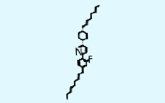 CCCCCCCCCc1ccc(-c2ccc([C@H]3CC[C@H](CCCCCCCC)CC3)cn2)c(F)c1